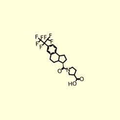 O=C(O)C1CCN(C(=O)[C@@H]2CCC3c4ccc(C(F)(C(F)(F)F)C(F)(F)F)cc4CCC32)C1